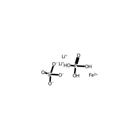 O=P(O)(O)O.[Fe+2].[Li+].[Li+].[O-][Si]([O-])([O-])[O-]